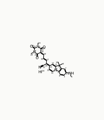 CNc1ccc2c(c1)C(C)(C)C1=CC(=C(C#N)C=CC=C3C(=O)N(C)C(=O)N(C)C3=O)C=CN12.I